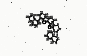 c1ccc2c(-c3cccc4c3oc3c4ccc4c5cccc(-c6cccc7ccccc67)c5oc43)cccc2c1